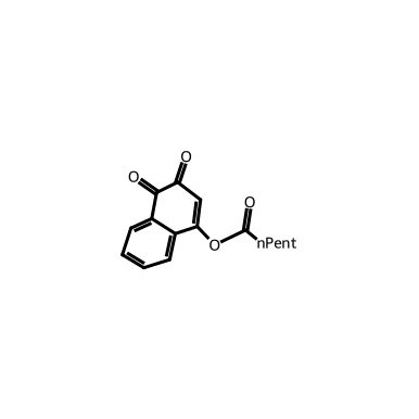 CCCCCC(=O)OC1=CC(=O)C(=O)c2ccccc21